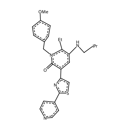 CCc1c(NCC(C)C)cc(-c2csc(-c3ccncc3)n2)c(=O)n1Cc1ccc(OC)cc1